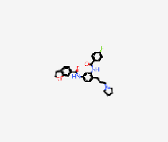 O=C(Nc1ccc(CCCN2CCCC2)c(NC(=O)c2ccc(F)cc2)c1)c1ccc2c(c1)OCC2